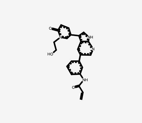 C=CC(=O)Nc1cccc(-c2cnc3[nH]cc(-c4ccc(=O)n(CCO)c4)c3c2)c1